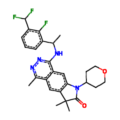 Cc1nnc(NC(C)c2cccc(C(F)F)c2F)c2cc3c(cc12)C(C)(C)C(=O)N3C1CCOCC1